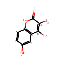 O=c1oc2ccc(O)cc2c(Br)c1Br